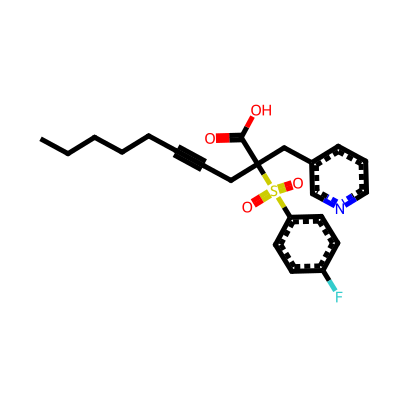 CCCCCC#CCC(Cc1cccnc1)(C(=O)O)S(=O)(=O)c1ccc(F)cc1